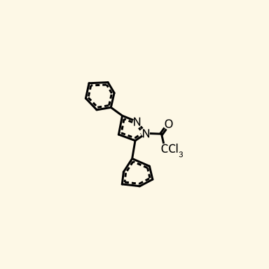 O=C(n1nc(-c2ccccc2)cc1-c1ccccc1)C(Cl)(Cl)Cl